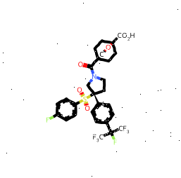 O=C(N1CC[C@](c2ccc(C(F)(C(F)(F)F)C(F)(F)F)cc2)(S(=O)(=O)c2ccc(F)cc2)C1)C12CCC(C(=O)O)(CC1)OC2